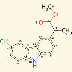 COC(=O)C(C)c1ccc2[nH]c3ccc(Cl)cc3c2c1